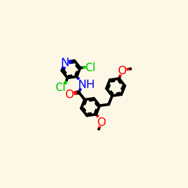 COc1ccc(Cc2cc(C(=O)Nc3c(Cl)cncc3Cl)ccc2OC)cc1